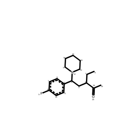 CCC(CC(c1ccc(F)cc1)N1CCCCC1)C(C)=O